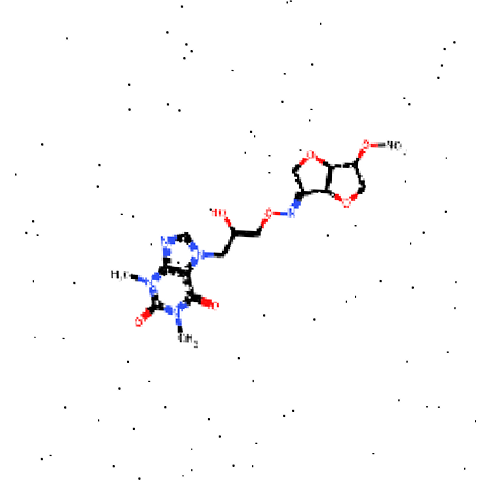 Cn1c(=O)c2c(ncn2CC(O)CON=C2COC3C(O[N+](=O)[O-])COC23)n(C)c1=O